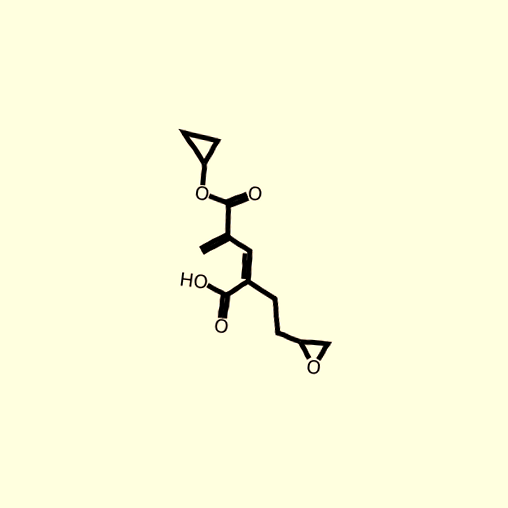 C=C(C=C(CCC1CO1)C(=O)O)C(=O)OC1CC1